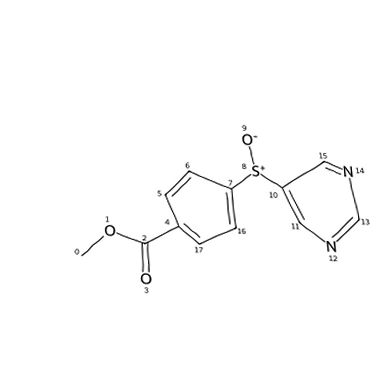 COC(=O)c1ccc([S+]([O-])c2cncnc2)cc1